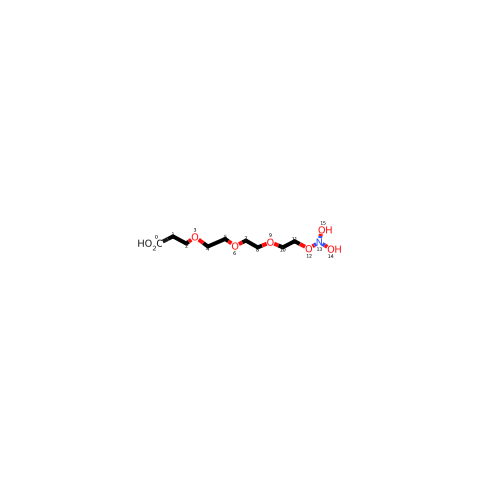 O=C(O)CCOCCOCCOCCON(O)O